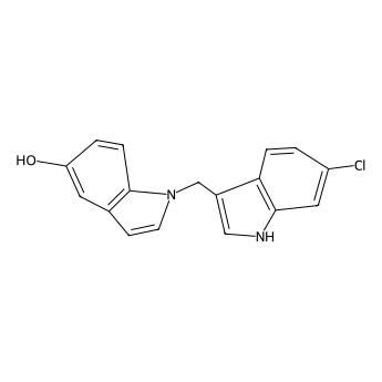 Oc1ccc2c(ccn2Cc2c[nH]c3cc(Cl)ccc23)c1